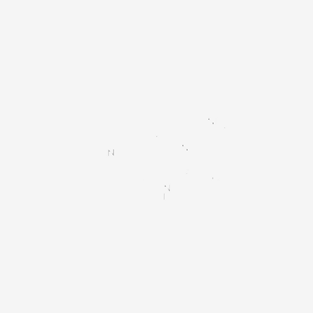 CC1(C)c2ncccc2NC(=O)N1N